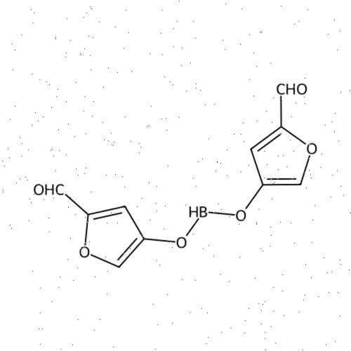 O=Cc1cc(OBOc2coc(C=O)c2)co1